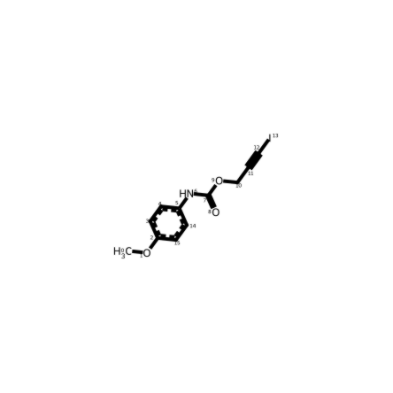 COc1ccc(NC(=O)OCC#CI)cc1